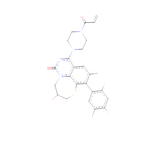 C=CC(=O)N1[C@H](C)CN(c2nc(=O)n3c4c(c(-c5cc(Cl)c(F)cc5F)c(Cl)cc24)SCC(O)C3)C[C@@H]1C